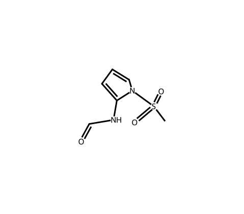 CS(=O)(=O)n1cccc1NC=O